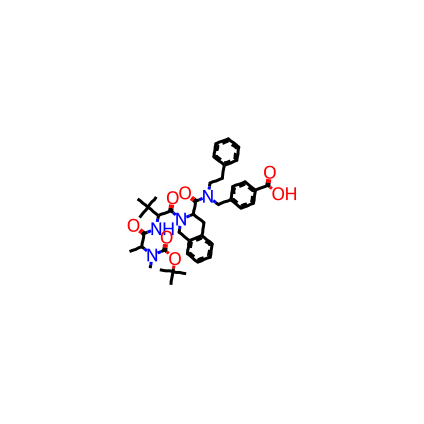 CC(C(=O)NC(C(=O)N1Cc2ccccc2CC1C(=O)N(CCc1ccccc1)Cc1ccc(C(=O)O)cc1)C(C)(C)C)N(C)C(=O)OC(C)(C)C